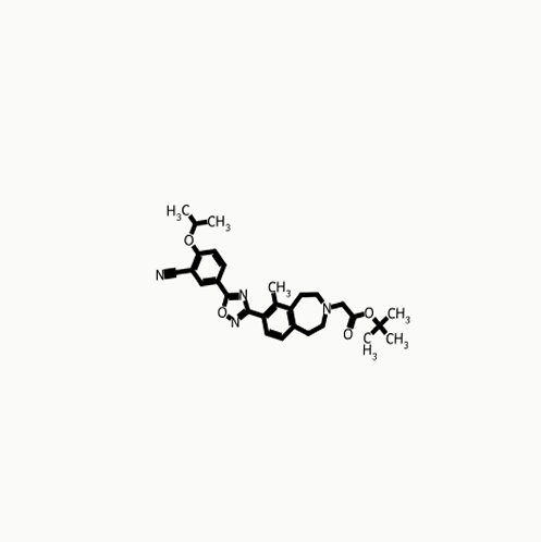 Cc1c(-c2noc(-c3ccc(OC(C)C)c(C#N)c3)n2)ccc2c1CCN(CC(=O)OC(C)(C)C)CC2